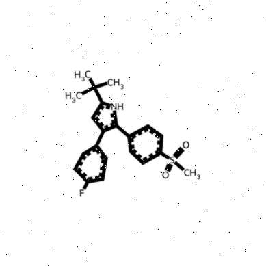 CC(C)(C)c1cc(-c2ccc(F)cc2)c(-c2ccc(S(C)(=O)=O)cc2)[nH]1